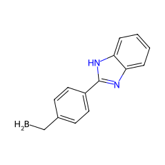 BCc1ccc(-c2nc3ccccc3[nH]2)cc1